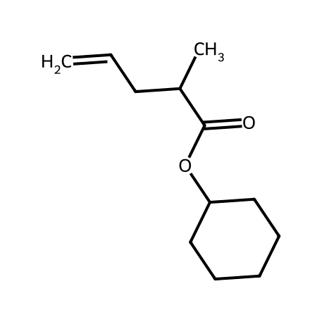 C=CCC(C)C(=O)OC1CCCCC1